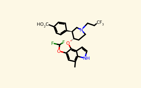 Cc1cc(OC(F)F)c(O[C@H]2CCN(CCC(F)(F)F)C[C@@H]2c2ccc(C(=O)O)cc2)c2cc[nH]c12